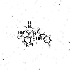 CN(C(=O)c1cc2ccc(F)cc2[nH]1)[C@H]1CNCc2[nH]c(=O)c3cc(F)c(F)cc3c21